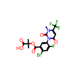 Cn1c(C(F)(F)F)cc(=O)n(-c2cc(C(=O)OC(C)(C)C(=O)O)c(Br)cc2F)c1=O